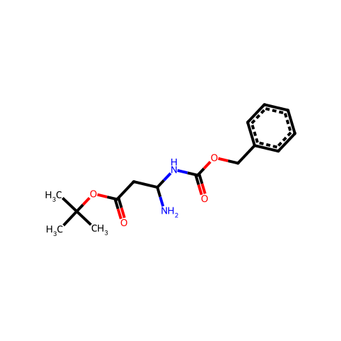 CC(C)(C)OC(=O)CC(N)NC(=O)OCc1ccccc1